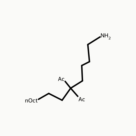 CCCCCCCCCCC(CCCCN)(C(C)=O)C(C)=O